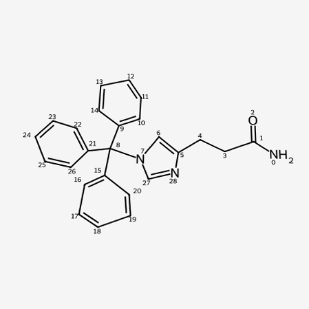 NC(=O)CCc1cn(C(c2ccccc2)(c2ccccc2)c2ccccc2)cn1